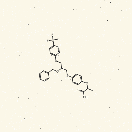 CC(Oc1ccc(SCC(COc2ccc(C(F)(F)F)cc2)OCc2ccccc2)cc1)C(=O)O